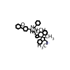 C/C=C\C1=C(C)C2(c3ccccc31)c1ccccc1C(C)(C)c1c(-c3nc(-c4ccccc4)nc(-c4ccc5c(c4)oc4ccccc45)n3)cccc12